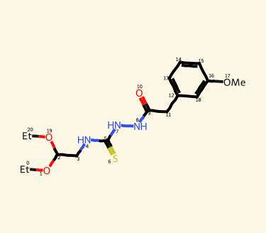 CCOC(CNC(=S)NNC(=O)Cc1cccc(OC)c1)OCC